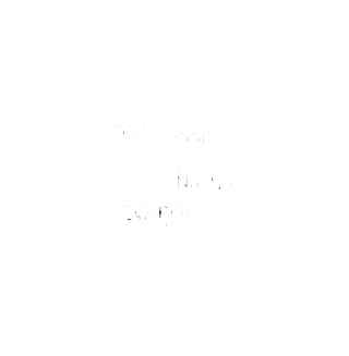 O=C([O-])CCC(=O)[O-].O=C([O-])CCC(=O)[O-].[Fe+2].[Na+].[Na+]